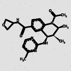 CC(=O)N1c2ccc(C(=O)NC3COC3)cc2[C@H](Nc2nccc(C)n2)[C@@H](C)[C@@H]1C